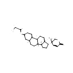 CC(C)[C@@H](N)C(=O)NC1CC[C@]2(C)[C@H]3CC[C@]4(C)[C@@H](C5(C)C=CC(=O)OC5)CC[C@]4(O)[C@@H]3CC[C@]2(O)C1